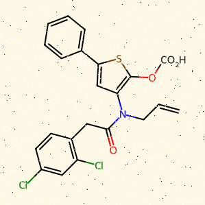 C=CCN(C(=O)Cc1ccc(Cl)cc1Cl)c1cc(-c2ccccc2)sc1OC(=O)O